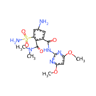 COc1cc(OC)nc(NC(=O)c2cc(N)cc(S(N)(=O)=O)c2C(=O)N(C)C)n1